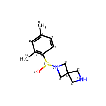 Cc1ccc([S+]([O-])N2CC3(CNC3)C2)c(C)c1